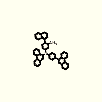 CC1C=C(N(c2ccc(-c3cc4ccccc4c4ccccc34)cc2)c2cc3ccccc3c3ccccc23)C=CC1c1cccc2ccccc12